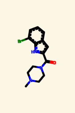 CN1CCN(C(=O)c2cc3cccc(Br)c3[nH]2)CC1